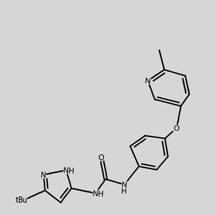 Cc1ccc(Oc2ccc(NC(=O)Nc3cc(C(C)(C)C)n[nH]3)cc2)cn1